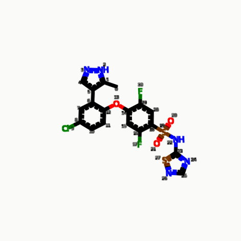 Cc1[nH]ncc1-c1cc(Cl)ccc1Oc1cc(F)c(S(=O)(=O)Nc2ncns2)cc1F